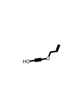 C=CCOC#CO